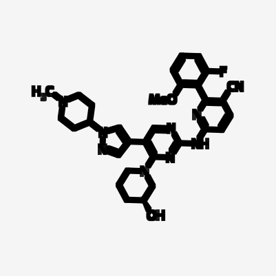 COc1cccc(F)c1-c1nc(Nc2ncc(-c3cnn(C4CCN(C)CC4)c3)c(N3CCC[C@H](O)C3)n2)ccc1C#N